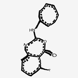 O=c1oc(Nc2ccccc2)nc2cccc(F)c12